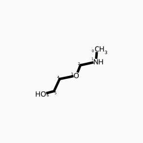 CNCOCCO